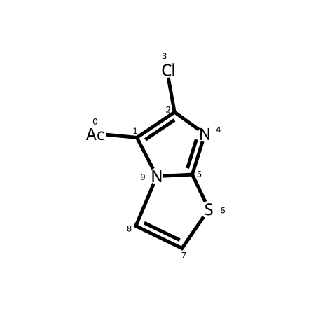 CC(=O)c1c(Cl)nc2sccn12